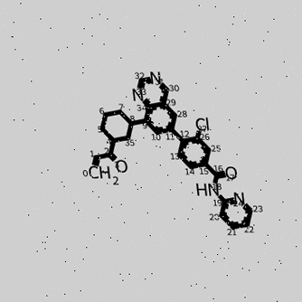 C=CC(=O)C1CCCC(c2cc(-c3ccc(C(=O)Nc4ccccn4)cc3Cl)cc3cncnc23)C1